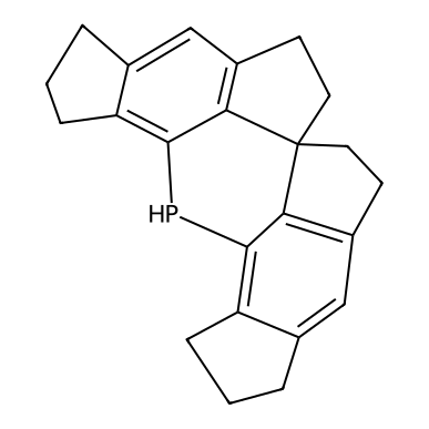 c1c2c(c3c4c1CCC41CCc4cc5c(c(c41)P3)CCC5)CCC2